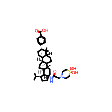 CC(C)[C@@H]1CC[C@]2(NC(=O)CN3CCS(O)(O)CC3)CC[C@]3(C)[C@H](CC[C@@H]4[C@@]5(C)CC[C@H](c6ccc(C(=O)O)cc6)C(C)(C)[C@@H]5CC[C@]43C)[C@@H]12